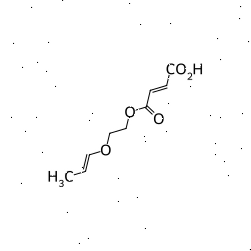 CC=COCCOC(=O)/C=C/C(=O)O